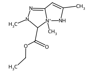 CCOC(=O)C1N(C)N=C2C=C(C)N[N+]21C